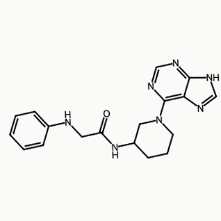 O=C(CNc1ccccc1)NC1CCCN(c2ncnc3[nH]cnc23)C1